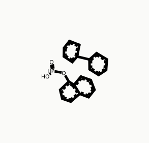 O=[PH](O)Oc1cccc2ccccc12.c1ccc(-c2ccccc2)cc1